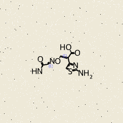 [NH]C(=O)/C=N/O/C=C(/C(=O)O)c1csc(N)n1